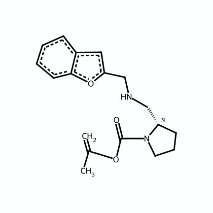 C=C(C)OC(=O)N1CCC[C@H]1CNCc1cc2ccccc2o1